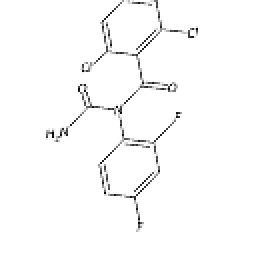 NC(=O)N(C(=O)c1c(Cl)cccc1Cl)c1ccc(F)cc1F